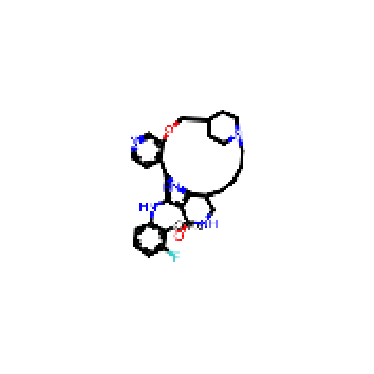 COc1c(F)cccc1Nc1c2[nH]c3c1C(=O)NCC3CCCCN1CCC(CC1)COc1cnccc1-2